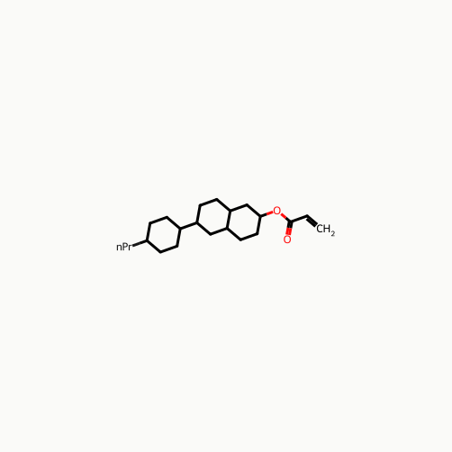 C=CC(=O)OC1CCC2CC(C3CCC(CCC)CC3)CCC2C1